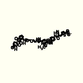 COc1nc(-c2cn(CCOCOCNc3cccc4c3C(=O)N(C3CCC(=O)NC3=O)C4=O)nn2)cnc1NS(=O)(=O)c1ccc(NC(=O)/C(C#N)=C/c2ccc([N+](=O)[O-])s2)cc1